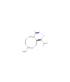 CCC1CCCC2C(C)=NNC(C(C)C)=C2CC1